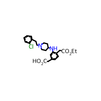 CCOC(=O)Cc1ccc(CC(=O)O)cc1NC1CCN(CCc2ccccc2Cl)CC1